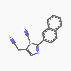 N#CCC1=CN=C(c2ccc3ccccc3c2)B1C#N